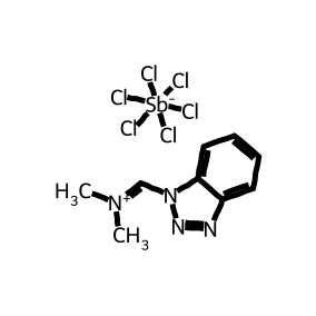 C[N+](C)=Cn1nnc2ccccc21.[Cl][Sb-]([Cl])([Cl])([Cl])([Cl])[Cl]